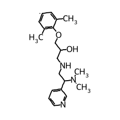 Cc1c[c]cc(C)c1OCC(O)CNCC(c1cccnc1)N(C)C